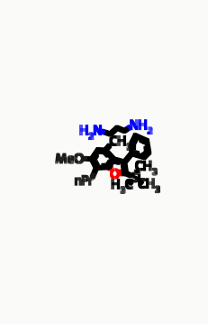 CCCc1c(OC)cc(C)c2c(-c3ccccc3)c([Si](C)(C)C)oc12.NCCCN